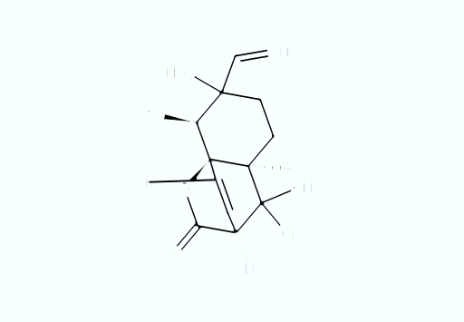 C=CC1(C)CC[C@H]2C(C)(C)[C@@H]3C=C(I)[C@]2(OC3=O)[C@H]1C(C)=O